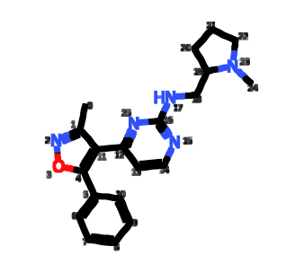 Cc1noc(-c2ccccc2)c1-c1ccnc(NCC2CCCN2C)n1